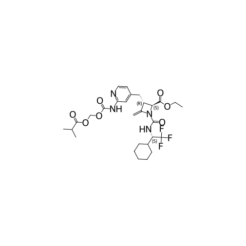 C=C1[C@H](Cc2ccnc(NC(=O)OCOC(=O)C(C)C)c2)[C@@H](C(=O)OCC)N1C(=O)N[C@@H](C1CCCCC1)C(F)(F)F